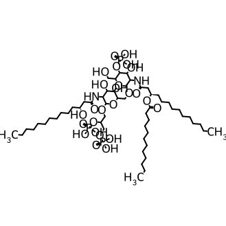 CCCCCCCCCCCC(=O)O[C@H](CCCCCCCCCCC)CC(=O)NC1C(OCC2OC(OCC(COP(=O)(O)O)OP(=O)(O)O)C(NC(=O)C[C@H](O)CCCCCCCCCCC)C(O)C2O)OC(CO)C(OP(=O)(O)O)C1O